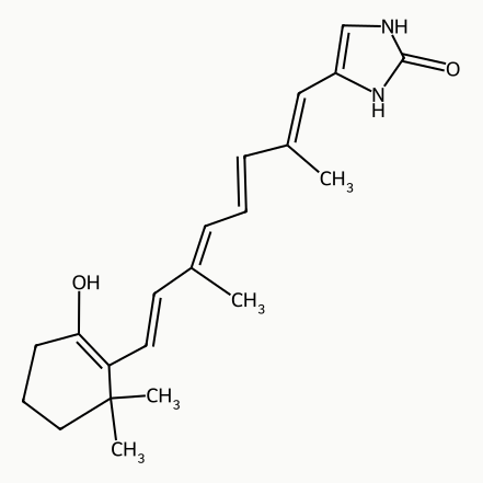 CC(/C=C/C1=C(O)CCCC1(C)C)=C\C=C\C(C)=C\c1c[nH]c(=O)[nH]1